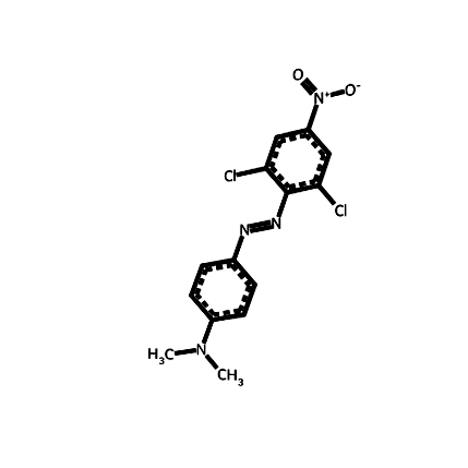 CN(C)c1ccc(/N=N/c2c(Cl)cc([N+](=O)[O-])cc2Cl)cc1